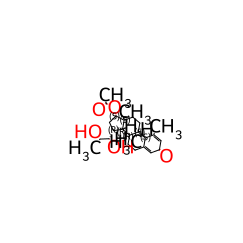 CC(=O)O[C@H]1C[C@@H](C(O)C(C)O)[C@H]2[C@@H]3CCC4=CC(=O)C=C(C)[C@]4(C)[C@H]3CC[C@@]21C